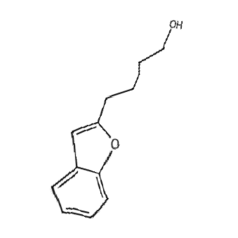 OCCCCc1cc2ccccc2o1